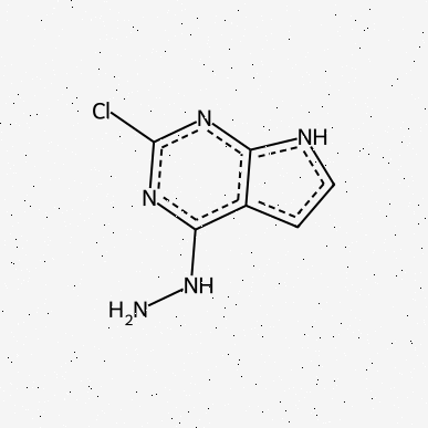 NNc1nc(Cl)nc2[nH]ccc12